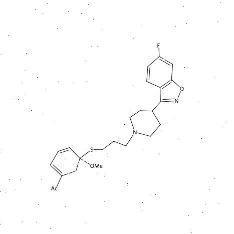 COC1(SCCCN2CCC(c3noc4cc(F)ccc34)CC2)C=CC=C(C(C)=O)C1